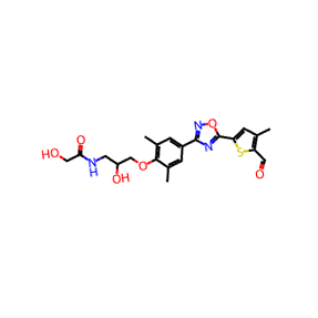 Cc1cc(-c2nc(-c3cc(C)c(OCC(O)CNC(=O)CO)c(C)c3)no2)sc1C=O